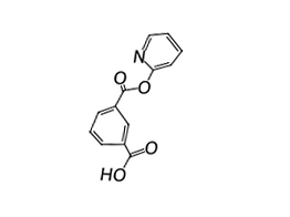 O=C(O)c1cccc(C(=O)Oc2ccccn2)c1